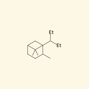 [CH2]CC(CC)C12CC(CCC1C)C2(C)C